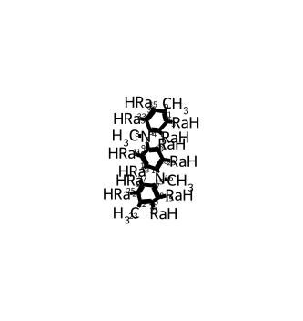 Cc1[c]([RaH])[c]([RaH])c(N(C)c2[c]([RaH])[c]([RaH])c(N(C)c3[c]([RaH])[c]([RaH])c(C)[c]([RaH])[c]3[RaH])[c]([RaH])[c]2[RaH])[c]([RaH])[c]1[RaH]